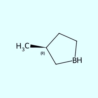 C[C@@H]1CBCC1